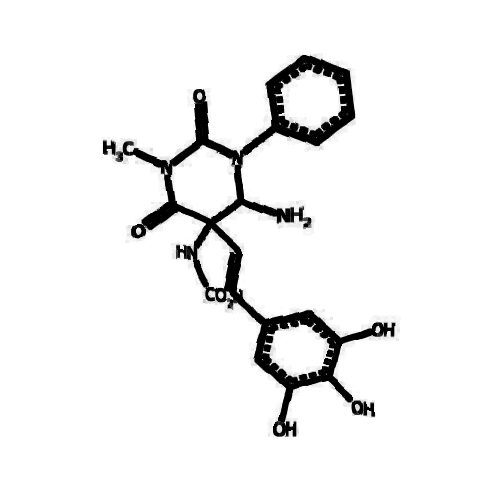 CN1C(=O)N(c2ccccc2)C(N)C(C=Cc2cc(O)c(O)c(O)c2)(NC(=O)O)C1=O